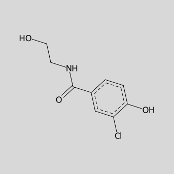 O=C(NCCO)c1ccc(O)c(Cl)c1